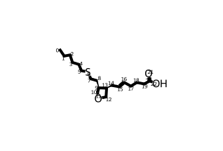 CCCCCCSCC[C@@H]1COC[C@@H]1CC=CCCCC(=O)O